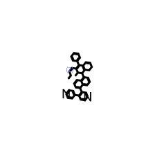 CC/C=C\C1=C(c2ccccc2)C2=C(CCC=C2)C(c2cccc3c(-c4cnccc4-c4ccncc4)cccc23)C1C